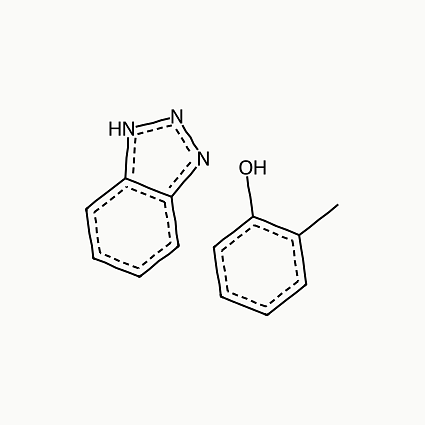 Cc1ccccc1O.c1ccc2[nH]nnc2c1